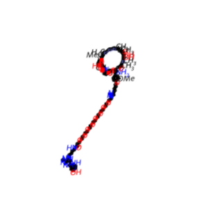 CO[C@H]1C[C@@H]2CC[C@@H](C)[C@@](O)(O2)C(=O)C(=O)N2CCCC[C@H]2C(=O)O[C@H]([C@H](N)C[C@@H]2CC[C@@H](OCCCCc3cn(CCOCCOCCOCCOCCOCCOCCOCCOCCC(=O)NCCCCn4nc(-c5cc6cc(O)ccc6[nH]5)c5c(N)ncnc54)nn3)[C@H](OC)C2)CC(=O)[C@H](C)/C=C(\C)[C@@H](O)[C@@H](O)C(=O)[C@H](C)C[C@H](C)/C=C/C=C/C=C/1C